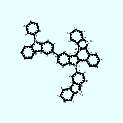 c1ccc(-n2c3ccccc3c3cc(-c4ccc5c(c4)c4c(c6ccccc6c6nc7ccccc7n64)n5-c4ccc5oc6ccccc6c5c4)ccc32)cc1